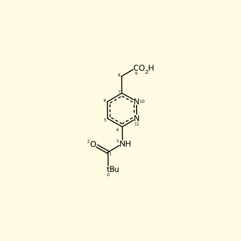 CC(C)(C)C(=O)Nc1ccc(CC(=O)O)nn1